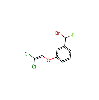 FC(Br)c1cccc(OC=C(Cl)Cl)c1